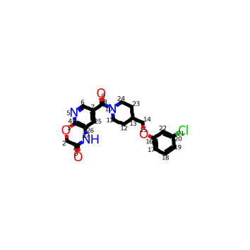 O=C1COc2ncc(C(=O)N3CCC(COc4cccc(Cl)c4)CC3)cc2N1